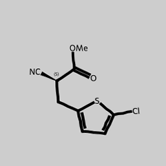 COC(=O)[C@H](C#N)Cc1ccc(Cl)s1